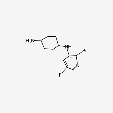 NC1CCC(Nc2cc(F)cnc2Br)CC1